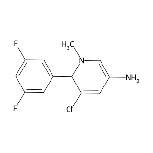 CN1C=C(N)C=C(Cl)C1c1cc(F)cc(F)c1